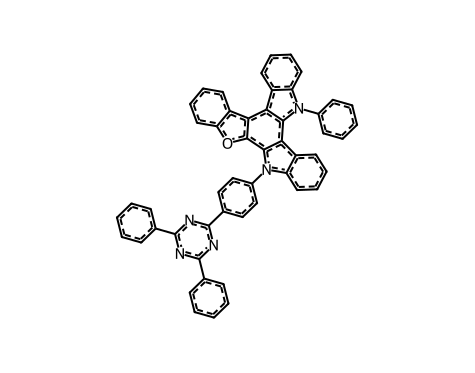 c1ccc(-c2nc(-c3ccccc3)nc(-c3ccc(-n4c5ccccc5c5c4c4oc6ccccc6c4c4c6ccccc6n(-c6ccccc6)c45)cc3)n2)cc1